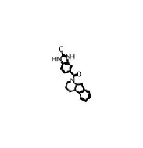 O=C(c1ccc2[nH]c(=O)[nH]c2c1)N1CCCC2c3ccccc3CC21